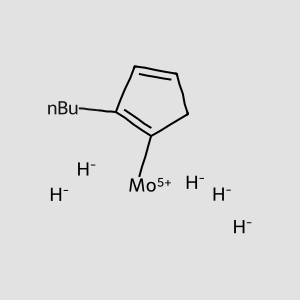 CCCCC1=[C]([Mo+5])CC=C1.[H-].[H-].[H-].[H-].[H-]